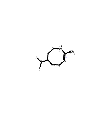 C/C1=C/CCC(C(F)F)CCN1